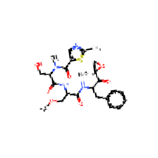 COCC(NC(=O)C(CO)N(C)C(=O)c1cnc(C)s1)C(=O)NC(Cc1ccccc1)C(=O)[C@@]1(C)CO1